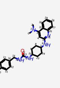 CN(C)c1cc(NC2CCC(NC(=O)NCc3ccc(Br)cc3)CC2)nc2ccccc12